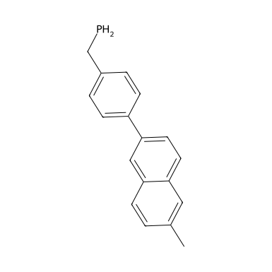 Cc1ccc2cc(-c3ccc(CP)cc3)ccc2c1